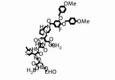 BOC(=O)C1=C(C[N+]23CCC[C@H]2CN(C(=O)c2cc(F)c(OCc4ccc(OC)cc4)c(OCc4ccc(OC)cc4)c2)CC3)C[S+]([O-])[C@@H]2[C@H](NC(=O)/C(=N\O[C@@H](CBOC=O)C(=O)OB)c3csc(C)n3)C(=O)N12